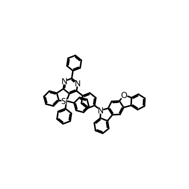 c1ccc(-c2nc(-c3ccc(-n4c5ccccc5c5cc6c(cc54)oc4ccccc46)cc3)c3c(n2)-c2ccccc2[Si]3(c2ccccc2)c2ccccc2)cc1